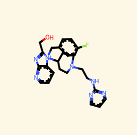 OCC1=Nc2ncccc2[N+]1(Cc1ccc(F)cc1)C1CCN(CCNc2ncccn2)CC1